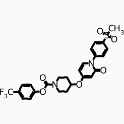 CS(=O)(=O)c1ccc(-n2ccc(OC3CCN(C(=O)Oc4ccc(C(F)(F)F)cc4)CC3)cc2=O)cc1